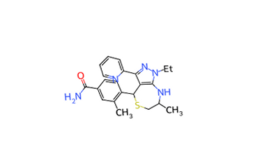 CCn1nc(-c2ccccn2)c2c1NC(C)CSC2c1ccc(C(N)=O)cc1C